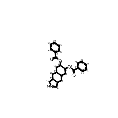 O=C(OC1CC2CC3CNCC3CC2CC1OC(=O)c1ccccc1)c1ccccc1